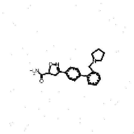 NC(=O)C1CC(c2ccc(-c3ccccc3CN3CCCC3)cc2)=NO1